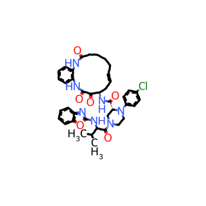 CC(C)C(Nc1nc2ccccc2o1)C(=O)N1CCN(c2ccc(Cl)cc2)[C@@H](C(=O)N[C@@H]2C/C=C/CCCCC(=O)Nc3ccccc3NC(=O)C2=O)C1